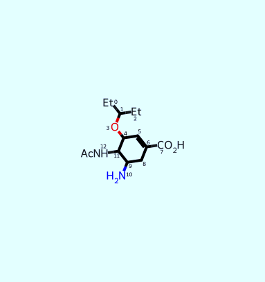 CCC(CC)OC1C=C(C(=O)O)CC(N)C1NC(C)=O